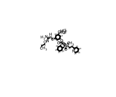 CCCON=C(N)NOc1cc(C)cc(OS(=O)(=O)c2ccccc2S(=O)(=O)N(C)CCc2ccccn2)c1.Cl.Cl